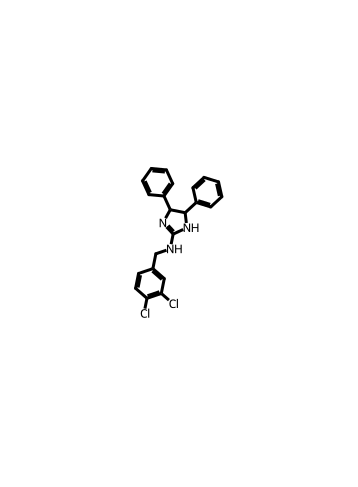 Clc1ccc(CNC2=NC(c3ccccc3)C(c3ccccc3)N2)cc1Cl